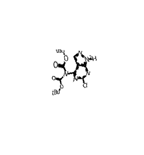 [2H]n1ncc2c(N(C(=O)OC(C)(C)C)C(=O)OC(C)(C)C)nc(Cl)nc21